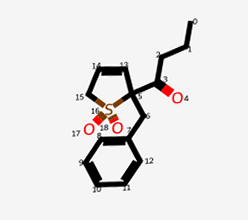 CCCC(=O)C1(Cc2ccccc2)C=CCS1(=O)=O